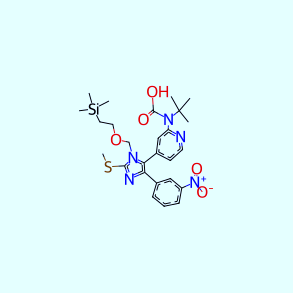 CSc1nc(-c2cccc([N+](=O)[O-])c2)c(-c2ccnc(N(C(=O)O)C(C)(C)C)c2)n1COCC[Si](C)(C)C